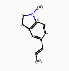 [CH2]CCN1CCc2cc(C=C[N+](=O)[O-])ccc21